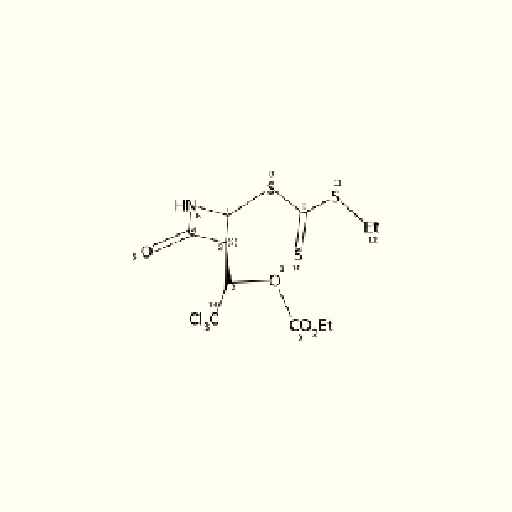 CCOC(=O)OC([C@H]1C(=O)NC1SC(=S)SCC)C(Cl)(Cl)Cl